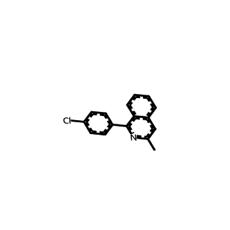 Cc1cc2ccccc2c(-c2ccc(Cl)cc2)n1